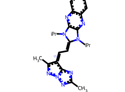 Cc1nc2/c(=C\C=C3N(C(C)C)c4nc5ccccc5nc4N3C(C)C)c(C)nn2n1